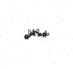 C=C(CCNC(=O)COc1ccc(Cl)c(F)c1)C(=O)NCCCc1ccccn1